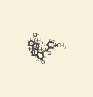 C#C[C@H]1CC[C@H]2[C@@H]3CCC4=CC(=O)CC(OC(=O)C5=CN(C)C=CC5)[C@@H]4[C@H]3CC[C@]12C